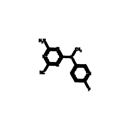 CN(c1ccc(F)nc1)c1nc(N)nc(C#N)n1